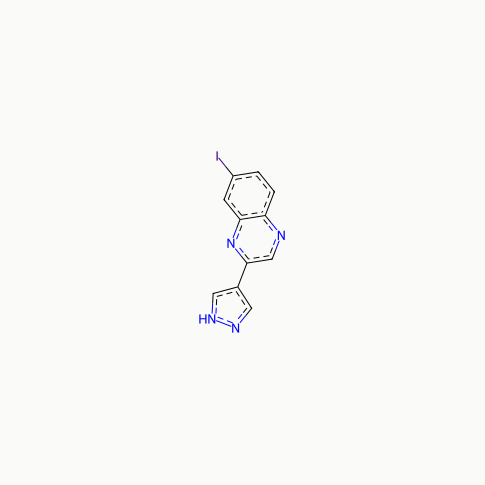 Ic1ccc2ncc(-c3cn[nH]c3)nc2c1